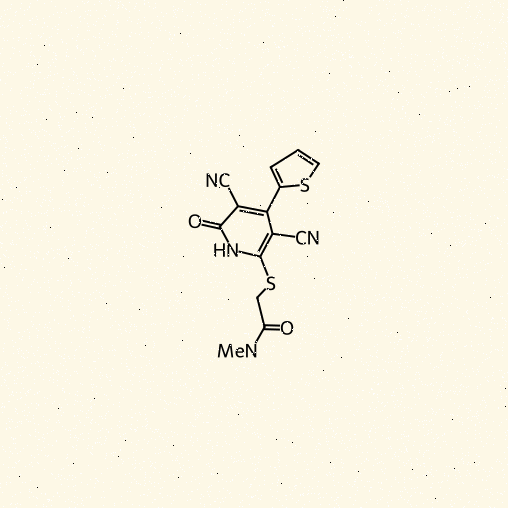 CNC(=O)CSc1[nH]c(=O)c(C#N)c(-c2cccs2)c1C#N